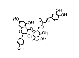 O=C(/C=C/c1ccc(O)c(O)c1)OCC1O[C@@H](Oc2c(-c3ccc(O)cc3)oc3cc(O)cc(O)c3c2=O)C(O)C(O)[C@@H]1O